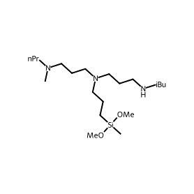 CCCN(C)CCCN(CCCNC(C)CC)CCC[Si](C)(OC)OC